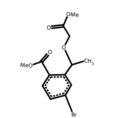 COC(=O)COC(C)c1cc(Br)ccc1C(=O)OC